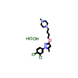 Cc1cc(OCCCCN2CCN(C)CC2)nn1-c1ccc(Cl)c(Cl)c1.Cl.Cl